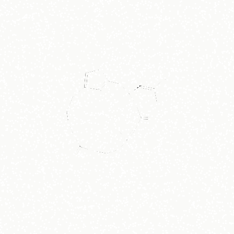 C/C(Br)=C\[C@@H]1Cc2nc(cs2)CCCCC(=O)O[C@@H](C)C/C(C)=C/C(=O)O1